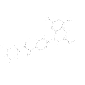 CC1CN(C(=O)Nc2ccc(C3CN(C)Cc4c(Cl)cc(Cl)cc43)cc2)CCO1